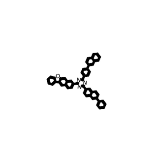 c1ccc(-c2ccc3cc(-c4nc(-c5ccc(-c6ccc7ccccc7c6)cc5)nc(-c5ccc6cc7c(cc6c5)oc5ccccc57)n4)ccc3c2)cc1